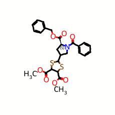 COC(=O)C1SC(C2C[C@@H](C(=O)OCc3ccccc3)N(C(=O)c3ccccc3)C2)SC1C(=O)OC